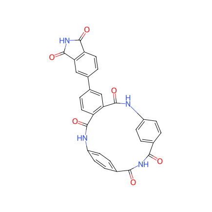 O=C1NC(=O)c2ccc(cc2)NC(=O)c2cc(-c3ccc4c(c3)C(=O)NC4=O)ccc2C(=O)Nc2ccc1cc2